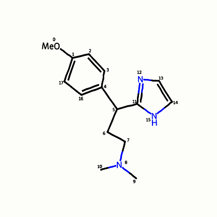 COc1ccc(C(CCN(C)C)c2ncc[nH]2)cc1